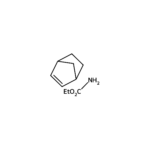 C1=CC2CCC1C2.CCOC(N)=O